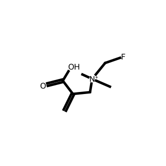 C=C(C[N+](C)(C)CF)C(=O)O